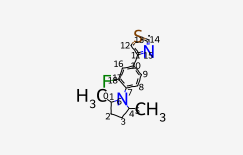 CC1CCC(C)N1c1ccc(-c2cs[c]n2)cc1F